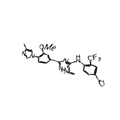 COc1cc(-c2nc(Nc3ccc(Cl)cc3C(F)(F)F)n(C)n2)ccc1-n1cnc(C)c1